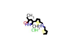 CCc1cc(-c2ccc(CNCc3cccs3)s2)c(C)[nH]c1=O.Cl